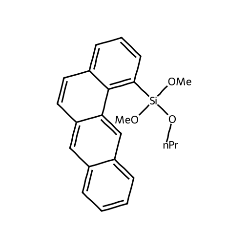 CCCO[Si](OC)(OC)c1cccc2ccc3cc4ccccc4cc3c12